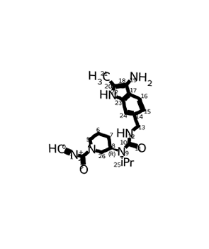 C#[N+]C(=O)N1CCC[C@@H](N(C(=O)NCc2ccc3c(N)c(C)[nH]c3c2)C(C)C)C1